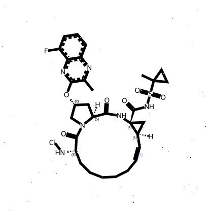 Cc1nc2cccc(F)c2nc1O[C@@H]1C[C@H]2C(=O)N[C@]3(C(=O)NS(=O)(=O)C4(C)CC4)C[C@H]3/C=C\CCCCC[C@H](NCl)C(=O)N2C1